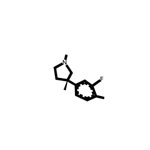 Cc1ccc([C@]2(C)CCN(C)C2)cc1F